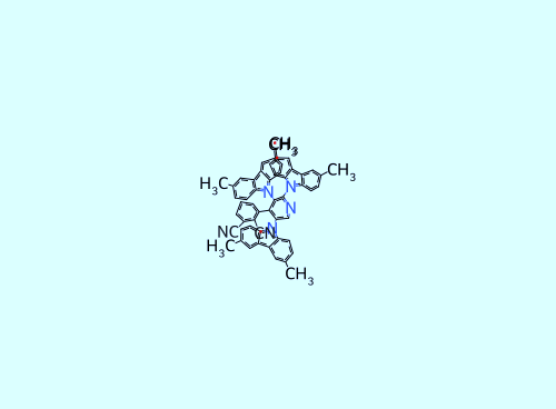 Cc1ccc2c(c1)c1cc(C)ccc1n2-c1cnc(-n2c3ccc(C)cc3c3cc(C)ccc32)c(-n2c3ccc(C)cc3c3cc(C)ccc32)c1-c1cccc(C#N)c1C#N